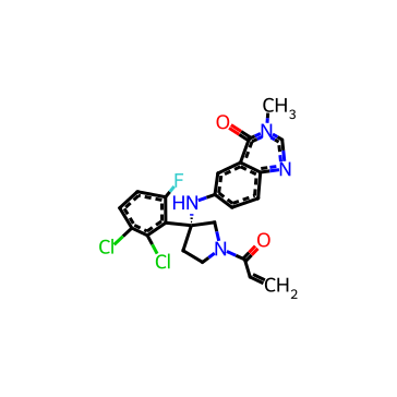 C=CC(=O)N1CC[C@@](Nc2ccc3ncn(C)c(=O)c3c2)(c2c(F)ccc(Cl)c2Cl)C1